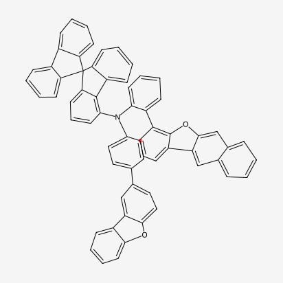 c1ccc(N(c2ccc(-c3ccc4oc5ccccc5c4c3)cc2)c2cccc3c2-c2ccccc2C32c3ccccc3-c3ccccc32)c(-c2cccc3c2oc2cc4ccccc4cc23)c1